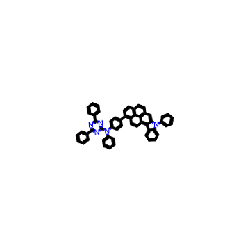 c1ccc(-c2nc(-c3ccccc3)nc(N(c3ccccc3)c3ccc(-c4ccc5ccc6cc7c(c8ccc4c5c68)c4ccccc4n7-c4ccccc4)cc3)n2)cc1